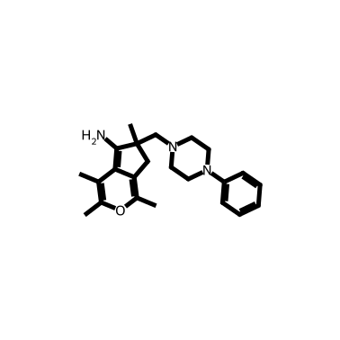 CC1=C(C)C2=C(N)C(C)(CN3CCN(c4ccccc4)CC3)CC2=C(C)O1